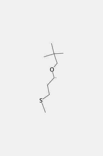 CSCC[CH]OCC(C)(C)C